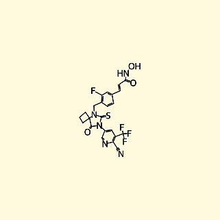 N#Cc1ncc(N2C(=O)C3(CCC3)N(Cc3ccc(/C=C/C(=O)NO)cc3F)C2=S)cc1C(F)(F)F